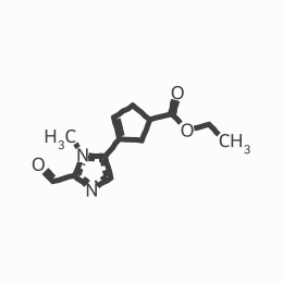 CCOC(=O)C1CC=C(c2cnc(C=O)n2C)C1